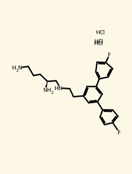 Cl.Cl.Cl.NCCC[C@H](N)CNCCc1cc(-c2ccc(F)cc2)cc(-c2ccc(F)cc2)c1